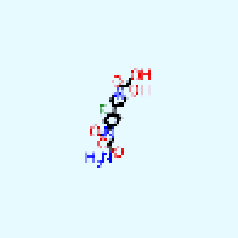 NC(=O)[C@H]1CN(c2ccc(C3=CCN(C(=O)C(O)CO)CC3)c(F)c2)C(=O)O1